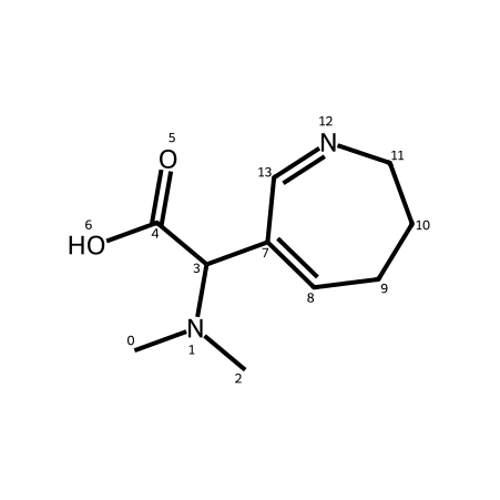 CN(C)C(C(=O)O)C1=CCCCN=C1